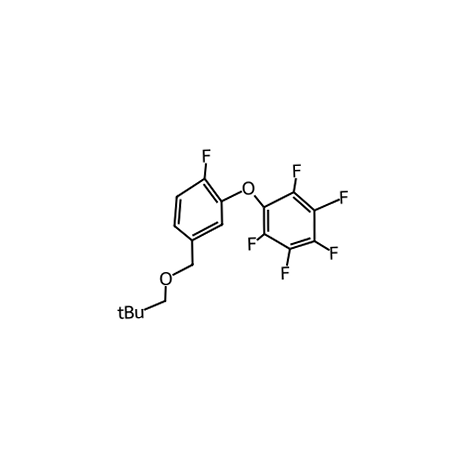 CC(C)(C)COCc1ccc(F)c(Oc2c(F)c(F)c(F)c(F)c2F)c1